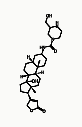 C[C@]12CC[C@H](NC(=O)N3CCNC(CO)C3)C[C@H]1CC[C@@H]1[C@@H]2CC[C@]2(C)[C@@H](C3=CC(=O)OC3)CC[C@]12O